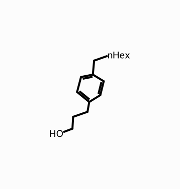 CCCCCCCc1ccc(CCCO)cc1